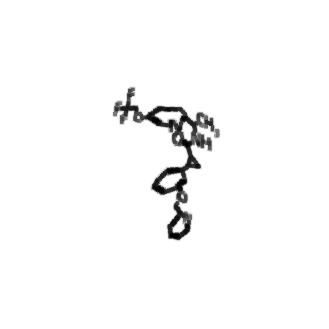 C[C@@H](NC(=O)C1CC1c1cccc(OCc2ccccn2)c1)c1ccc(OCC(F)(F)F)cn1